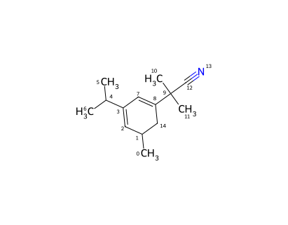 CC1C=C(C(C)C)C=C(C(C)(C)C#N)C1